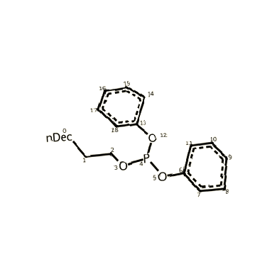 CCCCCCCCCCCCOP(Oc1ccccc1)Oc1ccccc1